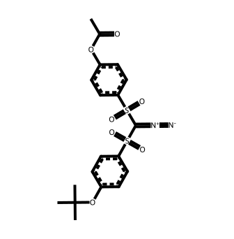 CC(=O)Oc1ccc(S(=O)(=O)C(=[N+]=[N-])S(=O)(=O)c2ccc(OC(C)(C)C)cc2)cc1